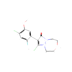 COc1cc(-c2c(Cl)n3n(c2=O)CCOCC3)c(F)cc1Cl